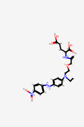 C=C(COCCN(CC)c1ccc(/N=N/c2ccc([N+](=O)[O-])cc2)cc1)NC(CCC(=O)O)C(=O)O